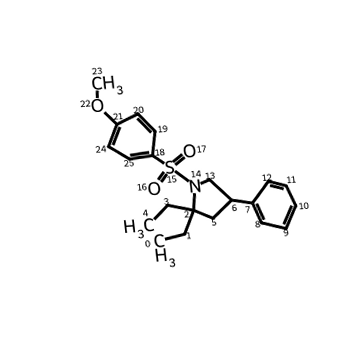 CCC1(CC)CC(c2ccccc2)CN1S(=O)(=O)c1ccc(OC)cc1